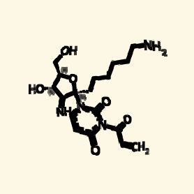 C=CC(=O)n1c(=O)ccn([C@]2(CCCCCCN)O[C@H](CO)[C@@H](O)C2=N)c1=O